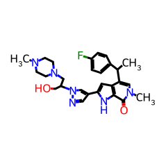 CC(c1ccc(F)cc1)c1cn(C)c(=O)c2[nH]c(-c3cnn(C(CO)CN4CCN(C)CC4)c3)cc12